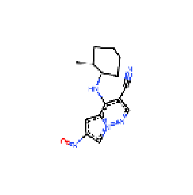 C[C@H]1CCCC[C@H]1Nc1c(C#N)cnn2cc(N=O)cc12